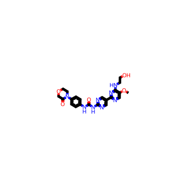 COc1cnc(-c2cnc(NC(=O)Nc3ccc(N4CCOCC4=O)cc3)nc2)nc1NCCO